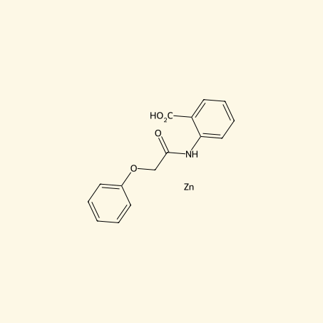 O=C(COc1ccccc1)Nc1ccccc1C(=O)O.[Zn]